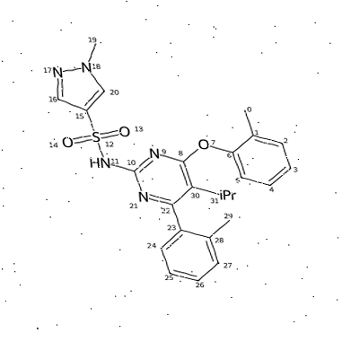 Cc1ccccc1Oc1nc(NS(=O)(=O)c2cnn(C)c2)nc(-c2ccccc2C)c1C(C)C